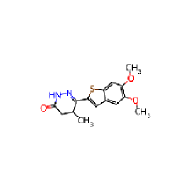 COc1cc2cc(C3=NNC(=O)CC3C)sc2cc1OC